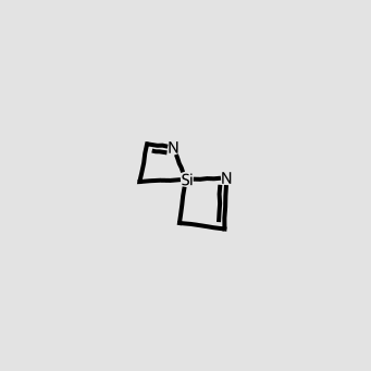 C1=N[Si]2(C1)CC=N2